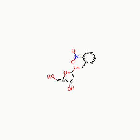 O=[N+]([O-])c1ccccc1COC1C[C@H](O)[C@@H](CO)O1